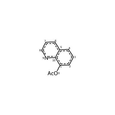 CC(=O)Oc1cccc2cc[c]nc12